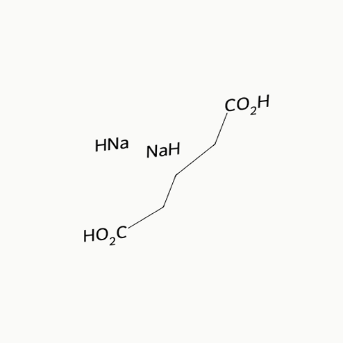 O=C(O)CCCC(=O)O.[NaH].[NaH]